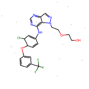 OCCOCCn1ncc2ncnc(NC3=CC(Cl)C(Oc4cccc(C(F)(F)F)c4)C=C3)c21